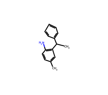 Cc1ccc(N)c(C(C)c2ccccc2)c1